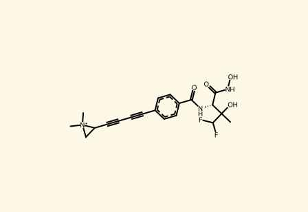 CC(O)(C(F)F)[C@H](NC(=O)c1ccc(C#CC#CC2C[N+]2(C)C)cc1)C(=O)NO